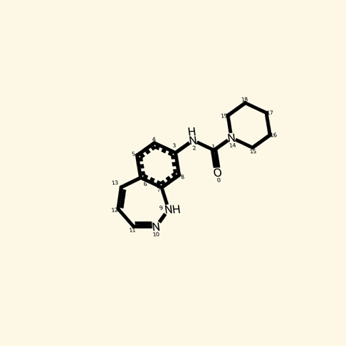 O=C(Nc1ccc2c(c1)NN=CC=C2)N1CCCCC1